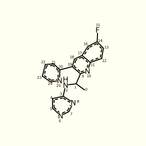 CC(Nc1ccncn1)c1nc2ccc(F)cc2cc1-c1ccccn1